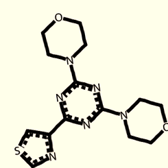 c1nc(-c2nc(N3CCOCC3)nc(N3CCOCC3)n2)cs1